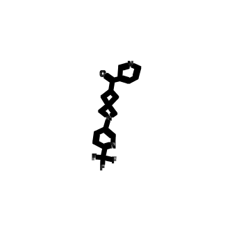 O=C(c1cccnc1)C1CC2(C1)CN(c1ccc(C(F)(F)F)nc1)C2